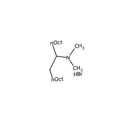 Br.CCCCCCCCCC(CCCCCCCC)N(C)C